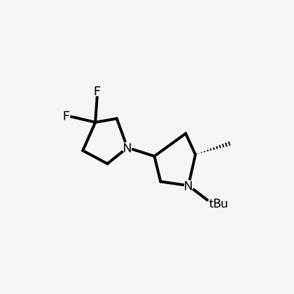 C[C@H]1CC(N2CCC(F)(F)C2)CN1C(C)(C)C